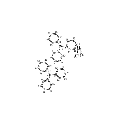 CCl.[Pd].c1ccc(P(c2ccccc2)c2ccccc2)cc1.c1ccc(P(c2ccccc2)c2ccccc2)cc1